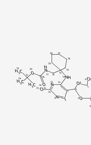 CCOC(OCC)c1cnc(Cl)nc1NC1(CNC(=O)OC(C)(C)C)CCCCC1